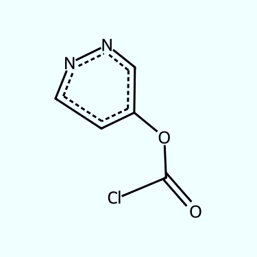 O=C(Cl)Oc1ccnnc1